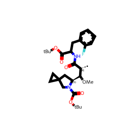 COC([C@@H](C)C(=O)NC(Cc1ccccc1F)C(=O)OC(C)(C)C)[C@@H]1CC2(CC2)CN1C(=O)OC(C)(C)C